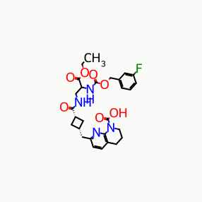 CCOC(=O)C(CNC(=O)[C@H]1C[C@@H](Cc2ccc3c(n2)N(C(=O)O)CCC3)C1)NC(=O)OCc1cccc(F)c1